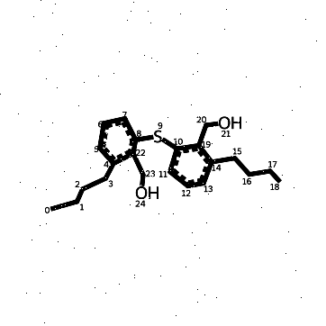 CCCCc1cccc(Sc2cccc(CCCC)c2CO)c1CO